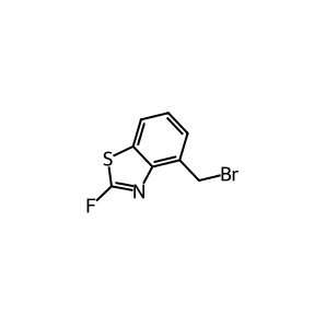 Fc1nc2c(CBr)cccc2s1